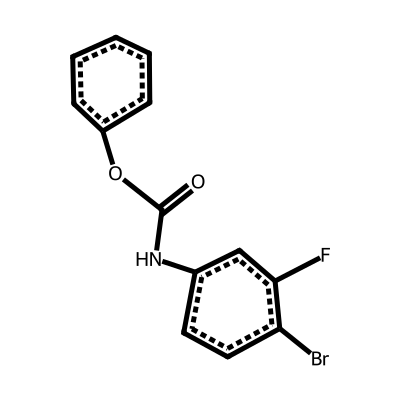 O=C(Nc1ccc(Br)c(F)c1)Oc1ccccc1